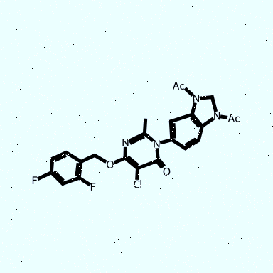 CC(=O)N1CN(C(C)=O)c2cc(-n3c(C)nc(OCc4ccc(F)cc4F)c(Cl)c3=O)ccc21